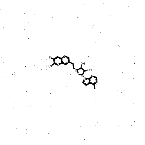 Cc1ncnc2c1ccn2[C@@H]1S[C@@H](CCc2ccc3cc(F)c(N)nc3c2)[C@@H](O)[C@H]1O